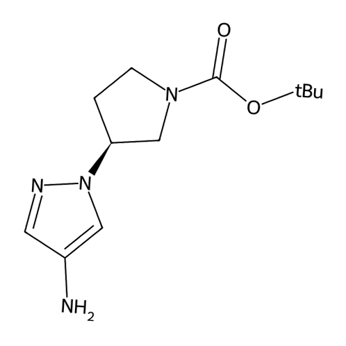 CC(C)(C)OC(=O)N1CC[C@H](n2cc(N)cn2)C1